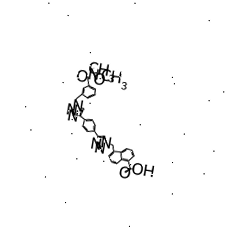 CON(C)C(=O)c1cccc(Cn2cc(-c3ccc(-c4cn(Cc5cccc6c(C(=O)O)cccc56)nn4)cc3)nn2)c1